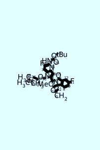 C=CC[C@@]1(C(=O)OC)c2ccc(F)cc2C(=O)N1Cc1cc2nc(NC(=O)OC(C)(C)C)c(F)cc2n1COCC[Si](C)(C)C